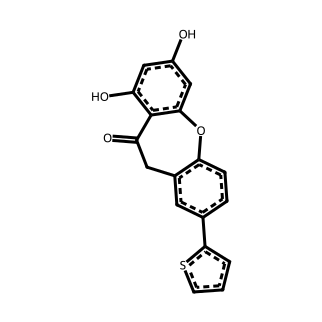 O=C1Cc2cc(-c3cccs3)ccc2Oc2cc(O)cc(O)c21